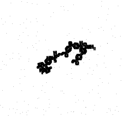 C=CC(=O)N1CCC(c2ccc(C(N)=O)c(Nc3ccc(C(=O)N4CCN(C(=O)CCCCNC(=S)Nc5ccc(C6C7=C(C)CC=[N+]7[B-](F)(F)n7c(C)ccc76)cc5)CC4)cc3)n2)CC1